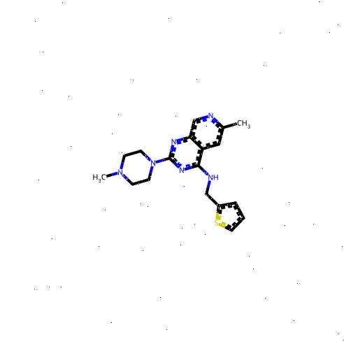 Cc1cc2c(NCc3cccs3)nc(N3CCN(C)CC3)nc2cn1